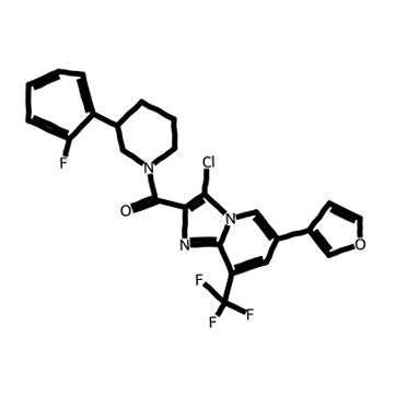 O=C(c1nc2c(C(F)(F)F)cc(-c3ccoc3)cn2c1Cl)N1CCCC(c2ccccc2F)C1